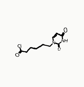 O=C(Cl)CCCCCn1ccc(=O)[nH]c1=O